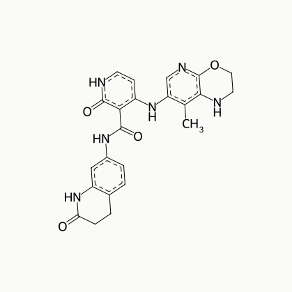 Cc1c(Nc2cc[nH]c(=O)c2C(=O)Nc2ccc3c(c2)NC(=O)CC3)cnc2c1NCCO2